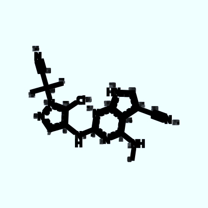 CNc1nc(Nc2cnn(C(C)(C)C#N)c2Cl)nc2[nH]cc(C#N)c12